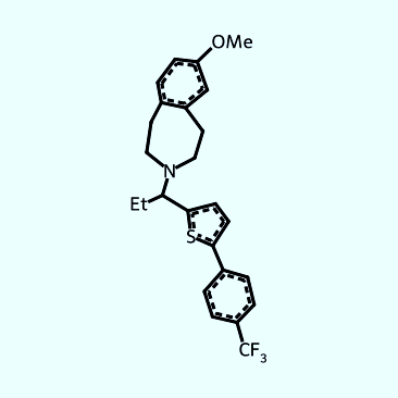 CCC(c1ccc(-c2ccc(C(F)(F)F)cc2)s1)N1CCc2ccc(OC)cc2CC1